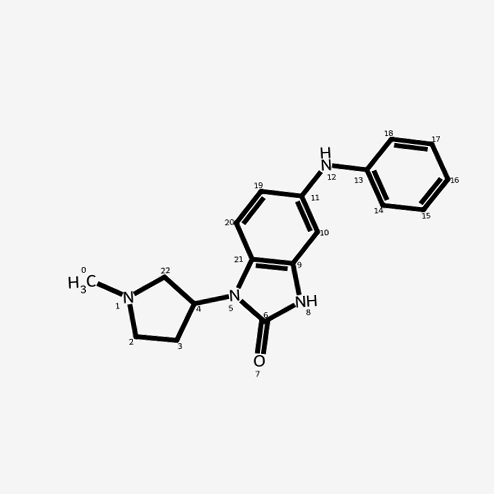 CN1CCC(n2c(=O)[nH]c3cc(Nc4ccccc4)ccc32)C1